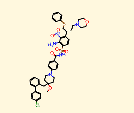 COC1(Cc2ccccc2-c2ccc(Cl)cc2)CCN(c2ccc(C(=O)NS(=O)(=O)c3ccc([C@@H](CCN4CCOCC4)CSc4ccccc4)c([N+](=O)[O-])c3N)cc2)CC1